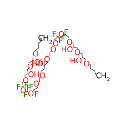 C=CCCCOCC(O)COCC(O)COCC(F)(F)OC(F)(F)COCOCCOCC(O)CCOCCOCC(F)(F)OC(F)(F)OC(F)(F)COCC(O)COCC(O)COCCCC=C